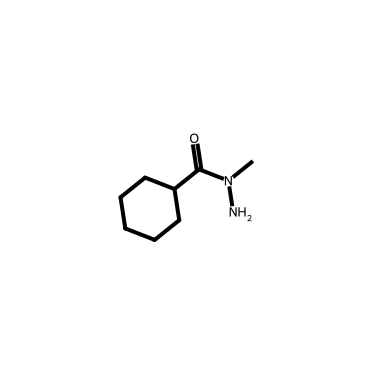 CN(N)C(=O)C1CCCCC1